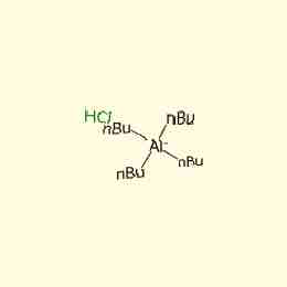 CCC[CH2][Al-]([CH2]CCC)([CH2]CCC)[CH2]CCC.Cl